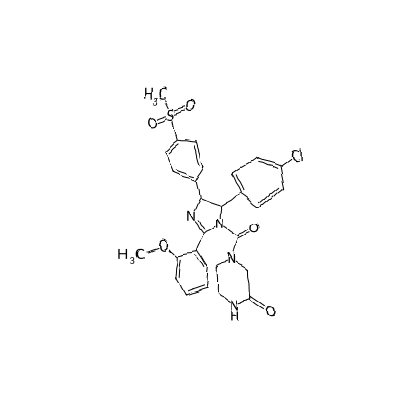 COc1ccccc1C1=NC(c2ccc(S(C)(=O)=O)cc2)C(c2ccc(Cl)cc2)N1C(=O)N1CCNC(=O)C1